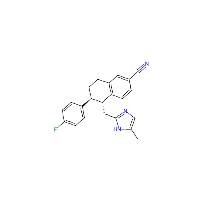 Cc1cnc(C[C@H]2c3ccc(C#N)cc3CC[C@@H]2c2ccc(F)cc2)[nH]1